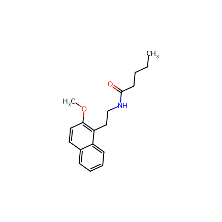 CCCCC(=O)NCCc1c(OC)ccc2ccccc12